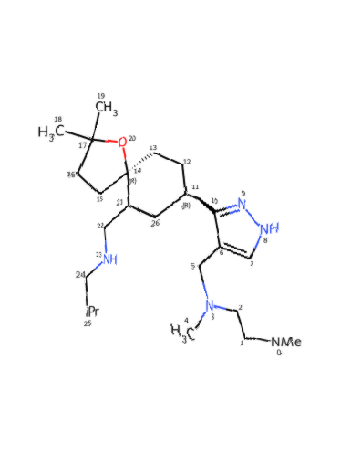 CNCCN(C)Cc1c[nH]nc1[C@@H]1CC[C@@]2(CCC(C)(C)O2)C(CNCC(C)C)C1